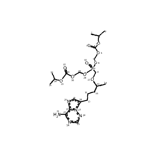 CC(C)OC(=O)OCOP(=O)(COC(C)CCCc1cnc2c(N)ncnn12)OCOC(=O)OC(C)C